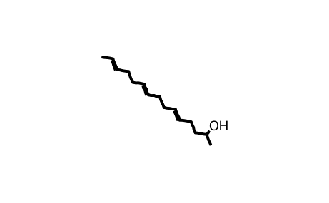 C/C=C/CC/C=C/CC/C=C/CCC(C)O